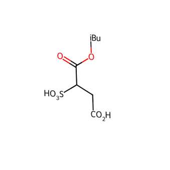 CCC(C)OC(=O)C(CC(=O)O)S(=O)(=O)O